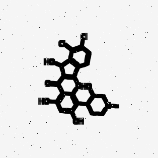 CN1CCC(c2c(O)cc(O)c3c(=O)c4c(oc23)-c2ccc(Cl)c(Cl)c2C4O)C(O)C1